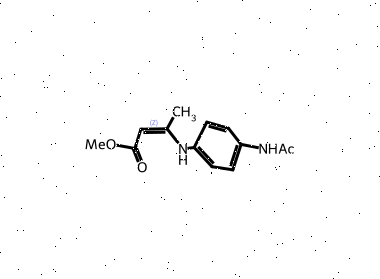 COC(=O)/C=C(/C)Nc1ccc(NC(C)=O)cc1